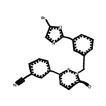 N#Cc1cccc(-c2ccc(=O)n(Cc3cccc(-c4ncc(Br)o4)c3)n2)c1